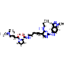 CCCNc1nc(Nc2ccc3c(cnn3C)c2)ncc1C#CCCCNC(=O)[C@@H]1CCCN1C(=O)C=CCN(C)C